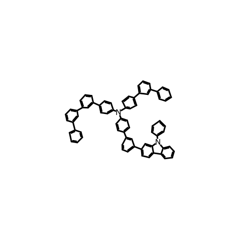 c1ccc(-c2cccc(-c3ccc(N(c4ccc(-c5cccc(-c6cccc(-c7ccccc7)c6)c5)cc4)c4ccc(-c5cccc(-c6ccc7c8ccccc8n(-c8ccccc8)c7c6)c5)cc4)cc3)c2)cc1